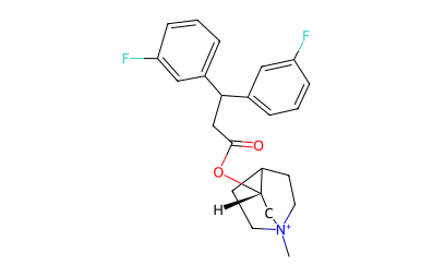 C[N+]12CCC(CC1)[C@@H](OC(=O)CC(c1cccc(F)c1)c1cccc(F)c1)C2